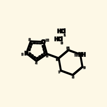 Cl.Cl.c1ncc(C2CCCNC2)o1